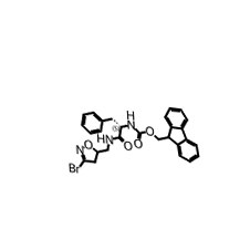 O=C(N[C@@H](Cc1ccccc1)C(=O)NCC1CC(Br)=NO1)OCC1c2ccccc2-c2ccccc21